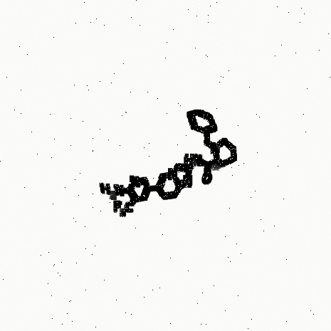 Nc1ncc(-c2ccc3nc(NC(=O)[C@@H]4CCCCN4Cc4ccccc4)cn3c2)cc1C(F)(F)F